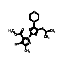 COC(=O)c1c(Br)c(C)nn1-c1nc(N2CCOCC2)c(SC(C)C)s1